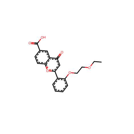 CCOCCOc1ccccc1-c1cc(=O)c2cc(C(=O)O)ccc2o1